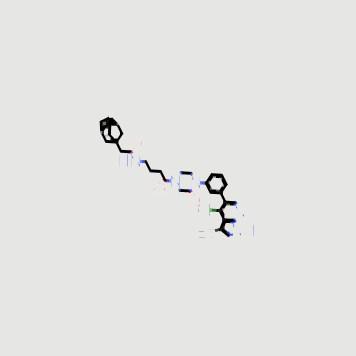 CCc1c[nH]c2ncc(-c3cccc(N4CCN(C(=O)CCCNC(=O)CC56CC7CC(C5)C(C7)C6)CC4=O)c3)c(Cl)c12